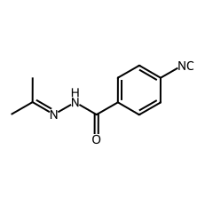 [C-]#[N+]c1ccc(C(=O)NN=C(C)C)cc1